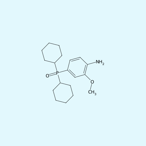 COc1cc(P(=O)(C2CCCCC2)C2CCCCC2)ccc1N